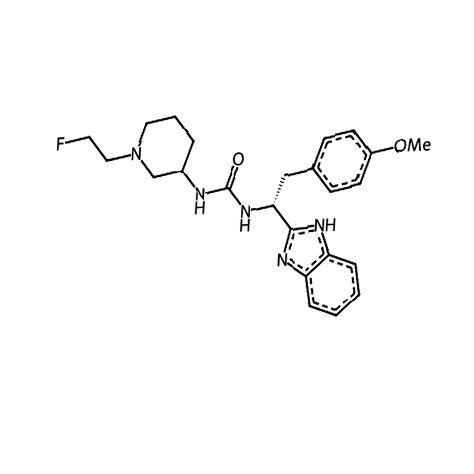 COc1ccc(C[C@@H](NC(=O)NC2CCCN(CCF)C2)c2nc3ccccc3[nH]2)cc1